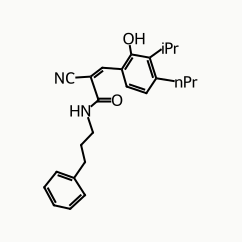 CCCc1ccc(/C=C(/C#N)C(=O)NCCCc2ccccc2)c(O)c1C(C)C